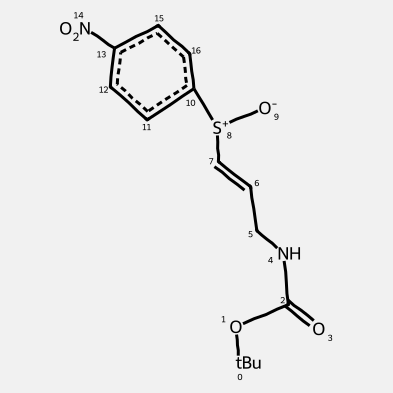 CC(C)(C)OC(=O)NCC=C[S+]([O-])c1ccc([N+](=O)[O-])cc1